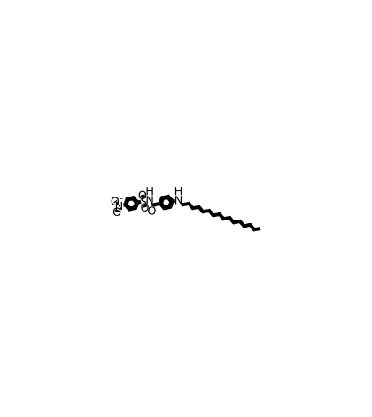 CCCCCCCCCCCCCCCCNc1ccc(C(=O)NS(=O)(=O)c2ccc([N+](=O)[O-])cc2)cc1